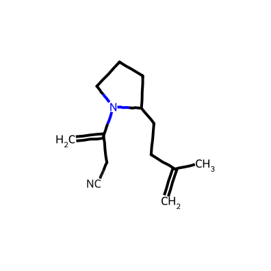 C=C(C)CCC1CCCN1C(=C)CC#N